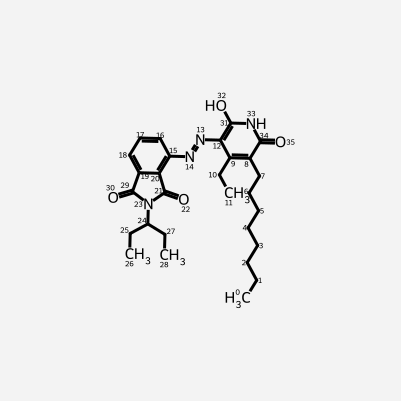 CCCCCCCCc1c(CC)c(N=Nc2cccc3c2C(=O)N(C(CC)CC)C3=O)c(O)[nH]c1=O